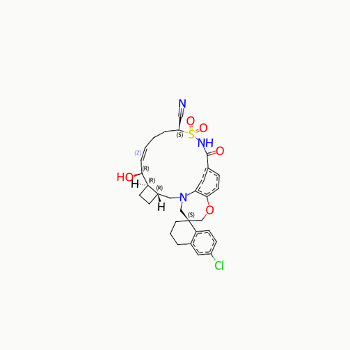 N#C[C@@H]1CC/C=C\[C@H](O)[C@@H]2CC[C@H]2CN2C[C@@]3(CCCc4cc(Cl)ccc43)COc3ccc(cc32)C(=O)NS1(=O)=O